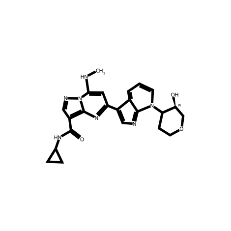 CNc1cc(-c2cnc3n(C4CCOC[C@@H]4O)cccc2-3)nc2c(C(=O)NC3CC3)cnn12